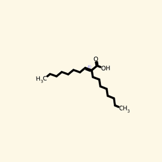 CCCCCCC/C=C(\CCCCCCCC)C(=O)O